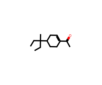 CCC(C)(CC)C1CC=C(C(C)=O)CC1